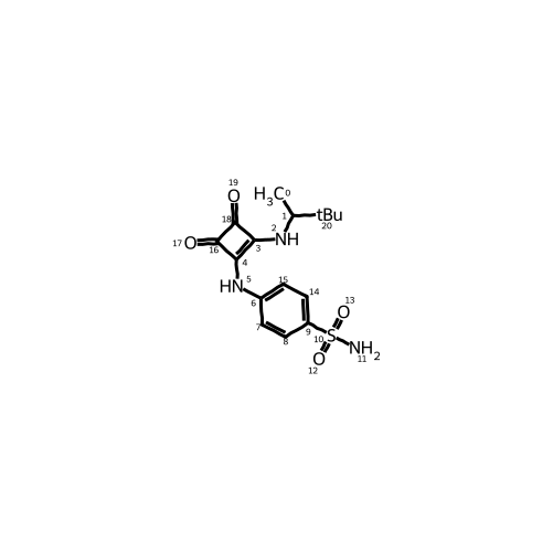 CC(Nc1c(Nc2ccc(S(N)(=O)=O)cc2)c(=O)c1=O)C(C)(C)C